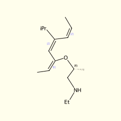 C\C=C/C(=C\C(=C/C)O[C@H](C)CNCC)C(C)C